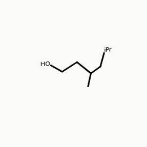 CC(C)CC(C)CCO